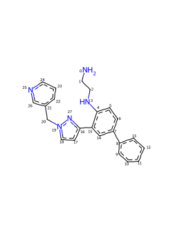 NCCNc1ccc(-c2ccccc2)cc1-c1ccn(Cc2cccnc2)n1